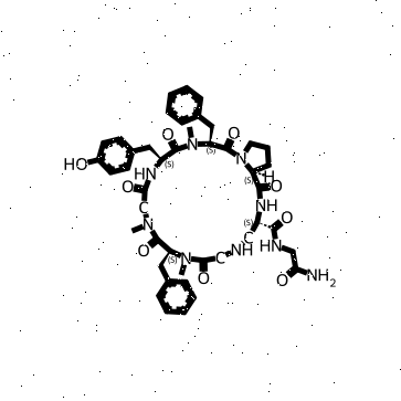 CN1CC(=O)N[C@@H](Cc2ccc(O)cc2)C(=O)N(C)[C@@H](Cc2ccccc2)C(=O)N2CCC[C@H]2C(=O)N[C@H](C(=O)NCC(N)=O)CNCC(=O)N(C)[C@@H](Cc2ccccc2)C1=O